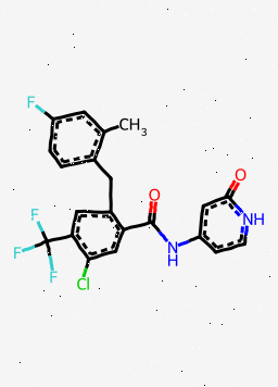 Cc1cc(F)ccc1Cc1cc(C(F)(F)F)c(Cl)cc1C(=O)Nc1cc[nH]c(=O)c1